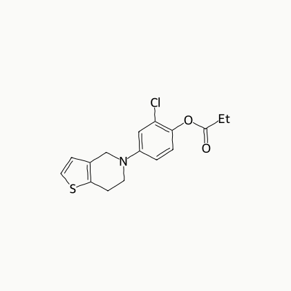 CCC(=O)Oc1ccc(N2CCc3sccc3C2)cc1Cl